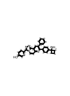 NC1(c2ccc(-c3nc4ccn5c(-c6ccc(O)cn6)nnc5c4cc3-c3ccccc3)cc2)CCC1